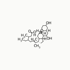 CCC(CC[C@@H](C)[C@H]1CC[C@H]2[C@@H]3[C@H](O)C[C@@H]4C[C@H](O)CC[C@]4(C)[C@H]3CC[C@]12C)C(C)CC(=O)O